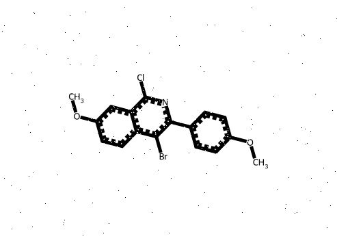 COc1ccc(-c2nc(Cl)c3cc(OC)ccc3c2Br)cc1